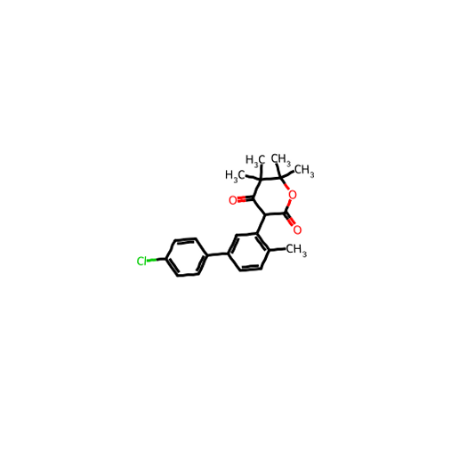 Cc1ccc(-c2ccc(Cl)cc2)cc1C1C(=O)OC(C)(C)C(C)(C)C1=O